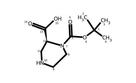 CC(C)(C)OC(=O)N1CCNC[C@H]1C(=O)O